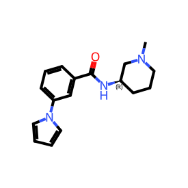 CN1CCC[C@@H](NC(=O)c2cccc(-n3cccc3)c2)C1